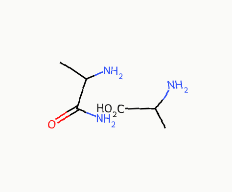 CC(N)C(=O)O.CC(N)C(N)=O